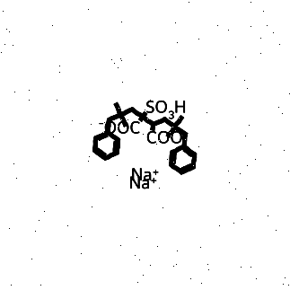 CC(C)(Cc1ccccc1)CC(C(=O)[O-])C(CC(C)(C)Cc1ccccc1)(C(=O)[O-])S(=O)(=O)O.[Na+].[Na+]